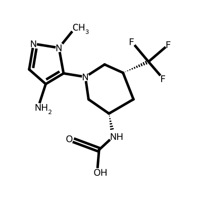 Cn1ncc(N)c1N1C[C@@H](NC(=O)O)C[C@@H](C(F)(F)F)C1